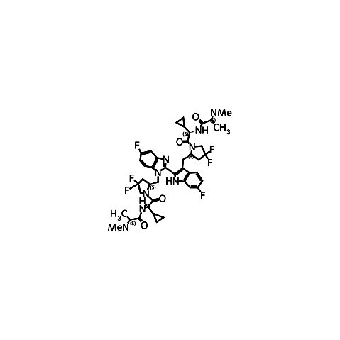 CN[C@@H](C)C(=O)N[C@H](C(=O)N1CC(F)(F)C[C@H]1Cc1c(-c2nc3cc(F)ccc3n2C[C@@H]2CC(F)(F)CN2C(=O)[C@@H](NC(=O)[C@H](C)NC)C2CC2)[nH]c2cc(F)ccc12)C1CC1